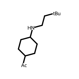 CC(=O)C1CCC(NCCC(C)(C)C)CC1